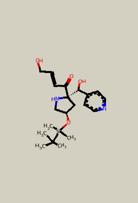 CC(C)(C)[Si](C)(C)O[C@H]1CN[C@](C(=O)C=CCO)(C(O)c2ccncc2)C1